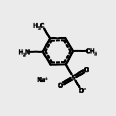 Cc1cc(C)c(S(=O)(=O)[O-])cc1N.[Na+]